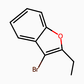 CCc1oc2ccccc2c1Br